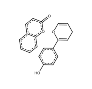 O=c1ccc2ccccc2o1.Oc1ccc(C2=CCC=CO2)cc1